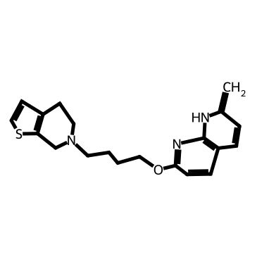 C=C1C=Cc2ccc(OCCCCN3CCc4ccsc4C3)nc2N1